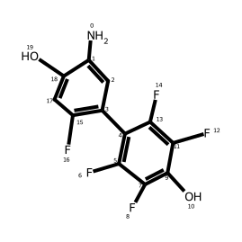 Nc1cc(-c2c(F)c(F)c(O)c(F)c2F)c(F)cc1O